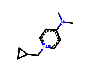 CN(C)c1cc[n+](CC2CC2)cc1